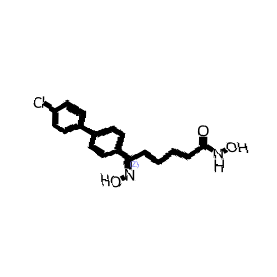 O=C(CCCC/C(=N/O)c1ccc(-c2ccc(Cl)cc2)cc1)NO